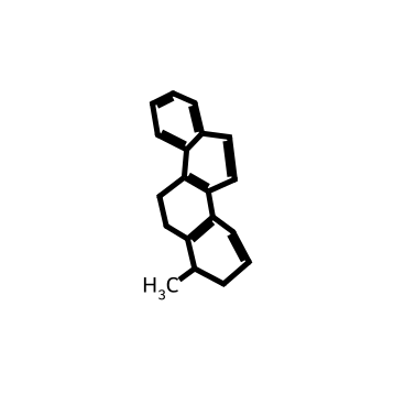 CC1CC=CC2=C1CCc1c2ccc2ccccc12